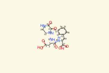 N[C@@H](CC(=O)O)C(=O)N[C@@H](Cc1ccccc1)C(=O)O.O=C1NCCNC1=O